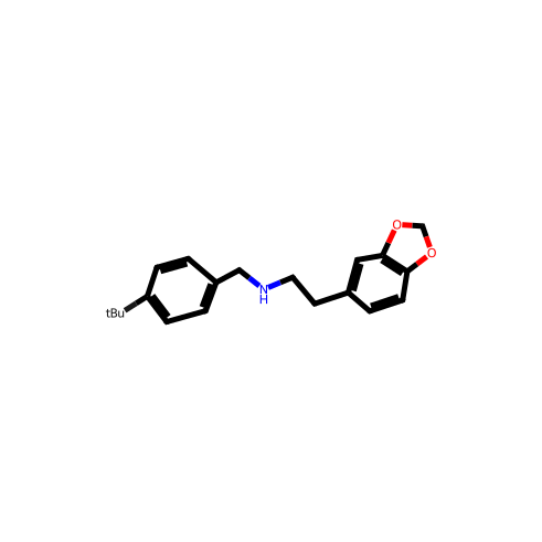 CC(C)(C)c1ccc(CNCCc2ccc3c(c2)OCO3)cc1